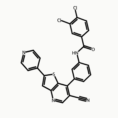 N#Cc1cnc2cc(-c3ccncc3)sc2c1-c1cccc(NC(=O)c2ccc(Cl)c(Cl)c2)c1